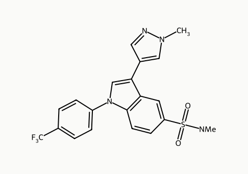 CNS(=O)(=O)c1ccc2c(c1)c(-c1cnn(C)c1)cn2-c1ccc(C(F)(F)F)cc1